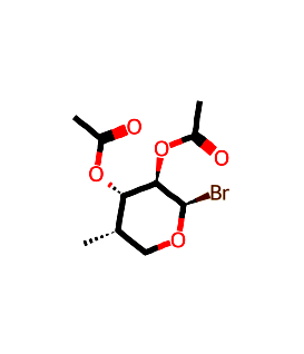 CC(=O)O[C@@H]1[C@@H](OC(C)=O)[C@@H](Br)OC[C@@H]1C